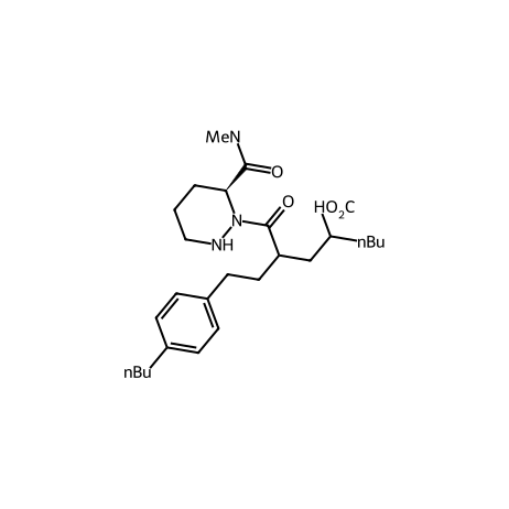 CCCCc1ccc(CCC(CC(CCCC)C(=O)O)C(=O)N2NCCC[C@H]2C(=O)NC)cc1